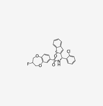 O=S(=O)(N[C@@H](c1cc2ccccc2s1)c1ccccc1Cl)c1ccc2c(c1)OCC(F)CO2